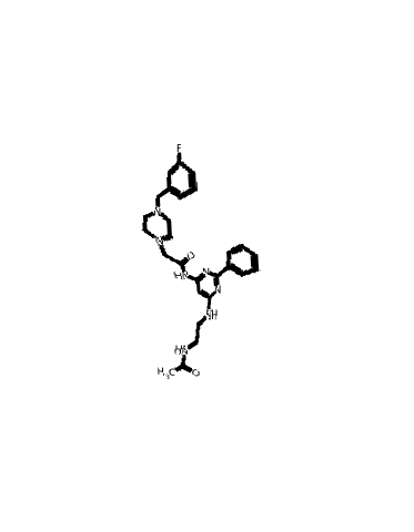 CC(=O)NCCNc1cc(NC(=O)CN2CCN(Cc3cccc(F)c3)CC2)nc(-c2ccccc2)n1